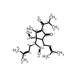 CC(C)=CCC1C(=O)C(C(=O)C(C)C)=C(O)[C@@]1(N=O)[C@H](CC=C(C)C)N=O